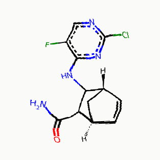 NC(=O)C1C(Nc2nc(Cl)ncc2F)[C@@H]2C=C[C@@H]1C2